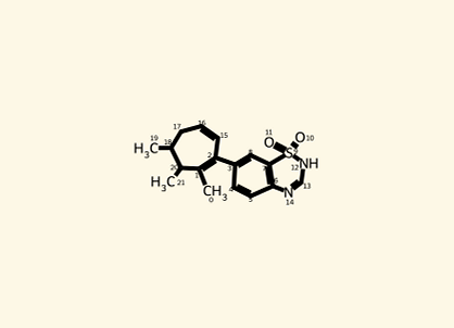 CC1=C(c2ccc3c(c2)S(=O)(=O)NC=N3)C=CCC(C)C1C